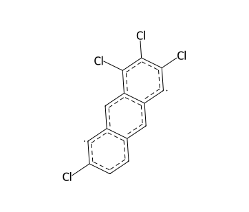 Clc1[c]c2cc3c(Cl)c(Cl)c(Cl)[c]c3cc2cc1